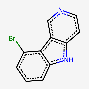 Brc1cccc2[nH]c3ccncc3c12